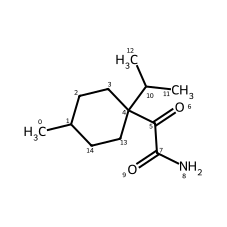 CC1CCC(C(=O)C(N)=O)(C(C)C)CC1